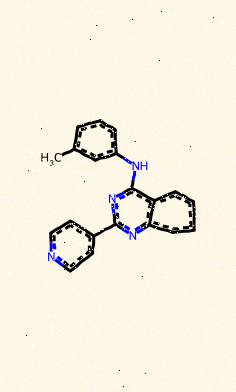 Cc1cccc(Nc2nc(-c3ccncc3)nc3ccccc23)c1